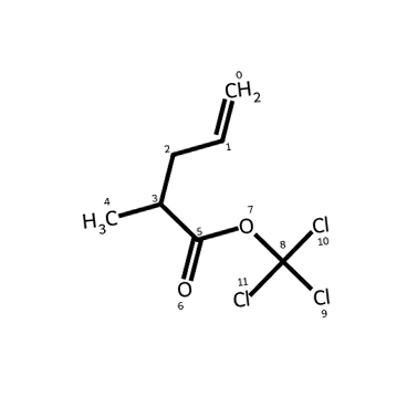 C=CCC(C)C(=O)OC(Cl)(Cl)Cl